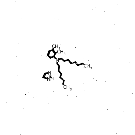 CCCCCCCCN(CCCCCCCC)c1cccc(C)c1C.c1c[nH]nn1